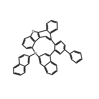 c1ccc(-c2ccc3c(c2)c2cc(cc4ccccc42)n(-c2ccc4ccccc4c2)c2cccc4oc5c6ccccc6c3cc5c42)cc1